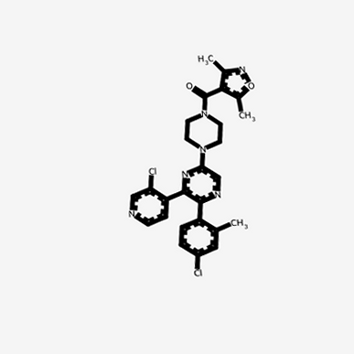 Cc1cc(Cl)ccc1-c1ncc(N2CCN(C(=O)c3c(C)noc3C)CC2)nc1-c1ccncc1Cl